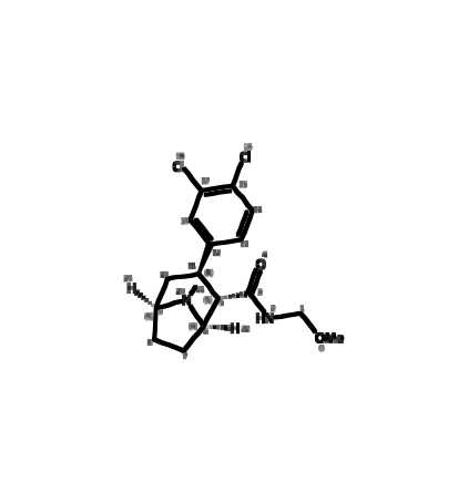 COCNC(=O)[C@@H]1[C@H]2CC[C@@H](C[C@H]1c1ccc(Cl)c(Cl)c1)N2C